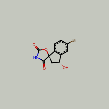 O=C1NC(=O)[C@]2(C[C@@H](O)c3cc(Br)ccc32)O1